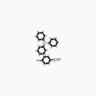 O=C([O-])c1ccc(F)cc1.c1ccc([S+](c2ccccc2)c2ccccc2)cc1